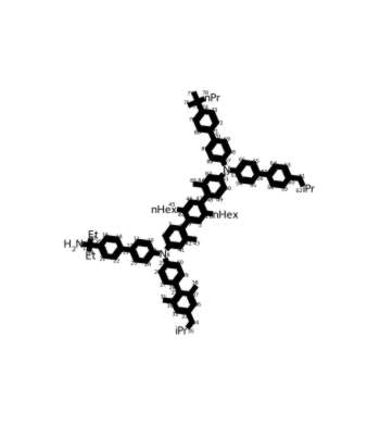 CCCCCCc1cc(-c2ccc(N(c3ccc(-c4ccc(C(N)(CC)CC)cc4)cc3)c3ccc(-c4c(C)cc(CC(C)C)cc4C)cc3)cc2C)c(CCCCCC)cc1-c1ccc(N(c2ccc(-c3ccc(CC(C)C)cc3)cc2)c2ccc(-c3ccc(C(C)(C)CCC)cc3)cc2)cc1C